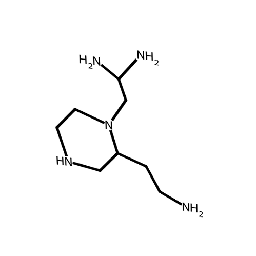 NCCC1CNCCN1CC(N)N